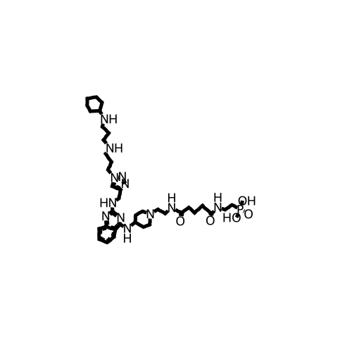 O=C(CCCC(=O)NCCP(=O)(O)O)NCCN1CCC(Nc2nc(NCc3cn(CCCNCCCNC4CCCCC4)nn3)nc3ccccc23)CC1